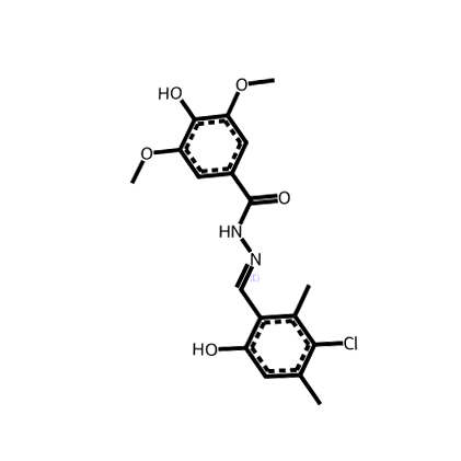 COc1cc(C(=O)N/N=C/c2c(O)cc(C)c(Cl)c2C)cc(OC)c1O